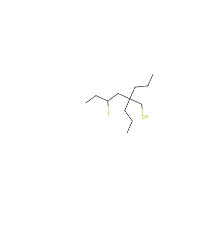 CCCC(CS)(CCC)CC(F)CC